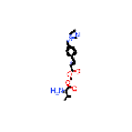 CC(C)[C@H](N)C(=O)OCOC(=O)/C=C/c1ccc(Cn2ccnc2)cc1